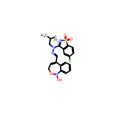 CC(C)CN(/N=C/C1=CCON(O)c2ccccc21)C1=NS(=O)(=O)c2ccc(F)cc21